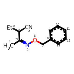 CCC(C#N)C(C)=NOCc1ccccc1